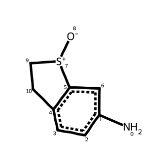 Nc1ccc2c(c1)[S+]([O-])CC2